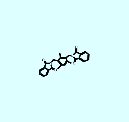 Cc1cc(C)c(CN2C(=O)c3ccccc3C2=O)c(C)c1CN1C(=O)c2ccccc2C1=O